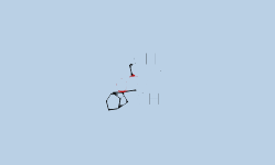 C=CC(=O)OC1(CC)CC2CCC1C2